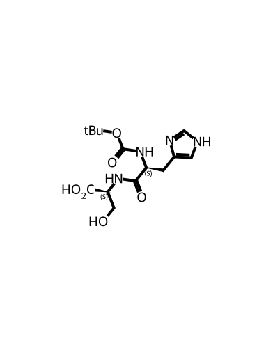 CC(C)(C)OC(=O)N[C@@H](Cc1c[nH]cn1)C(=O)N[C@@H](CO)C(=O)O